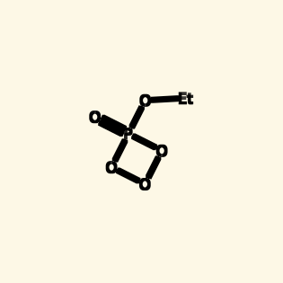 CCOP1(=O)OOO1